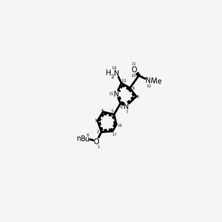 CCCCOc1ccc(-c2ncc(C(=O)NC)c(N)n2)cc1